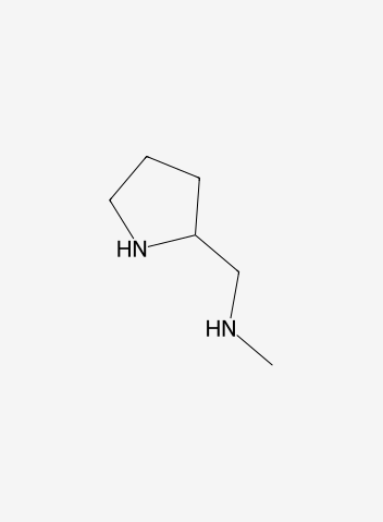 CNCC1CCCN1